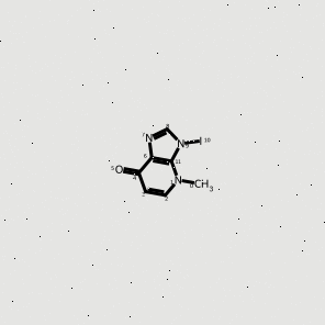 Cn1ccc(=O)c2ncn(I)c21